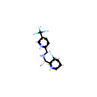 C[C@H](NCc1ccc(C(F)(F)F)cn1)c1ncccc1F